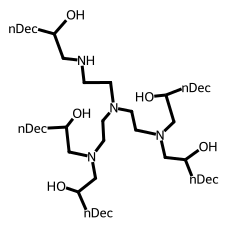 CCCCCCCCCCC(O)CNCCN(CCN(CC(O)CCCCCCCCCC)CC(O)CCCCCCCCCC)CCN(CC(O)CCCCCCCCCC)CC(O)CCCCCCCCCC